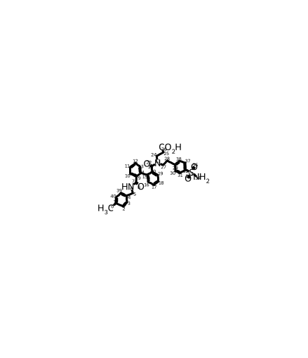 Cc1ccc(CNC(=O)c2ccccc2-c2ccccc2C(=O)N(CCC(=O)O)CCc2ccc(S(N)(=O)=O)cc2)cc1